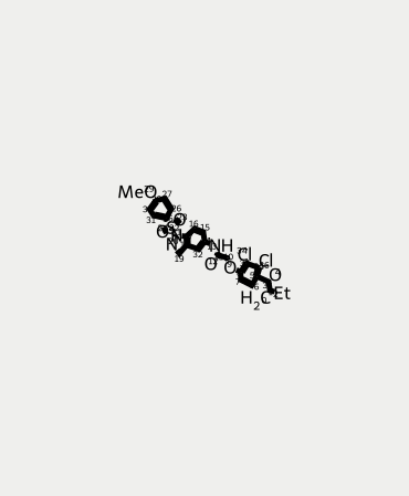 C=C(CC)C(=O)c1ccc(OCC(=O)Nc2ccc3c(cnn3S(=O)(=O)c3ccc(OC)cc3)c2)c(Cl)c1Cl